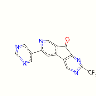 O=C1c2cnc(-c3cncnc3)cc2-c2cnc(C(F)(F)F)nc21